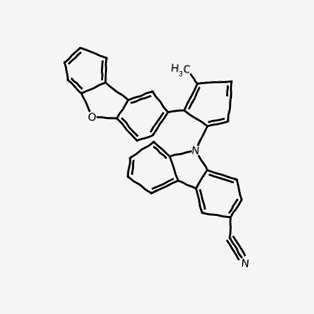 Cc1cccc(-n2c3ccccc3c3cc(C#N)ccc32)c1-c1ccc2oc3ccccc3c2c1